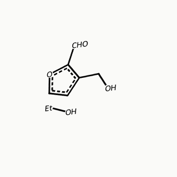 CCO.O=Cc1occc1CO